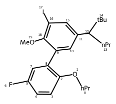 CCCOc1ccc(F)cc1-c1cc(C(CCC)C(C)(C)C)cc(I)c1OC